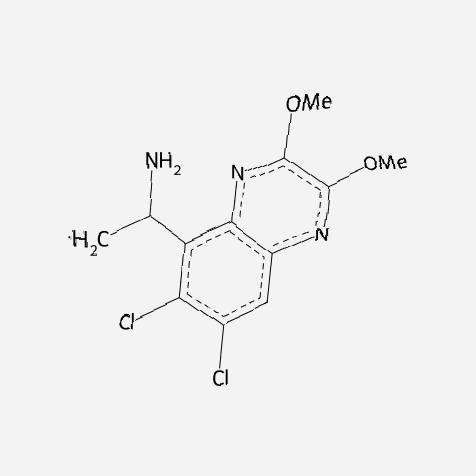 [CH2]C(N)c1c(Cl)c(Cl)cc2nc(OC)c(OC)nc12